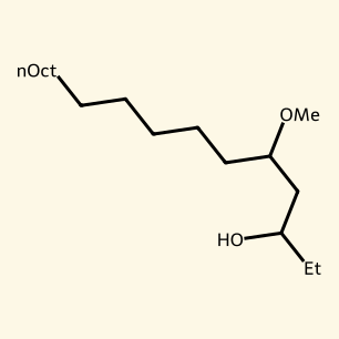 [CH2]CC(O)CC(CCCCCCCCCCCCC)OC